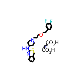 Fc1ccc(CCOCCCN2CCC(NC3=Nc4ccccc4CS3)CC2)cc1F.O=C(O)/C=C/C(=O)O